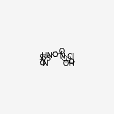 O=C(c1ccc(NSc2csc3cccnc23)cc1)N1CCC(O)(c2ccccc2Cl)CC1